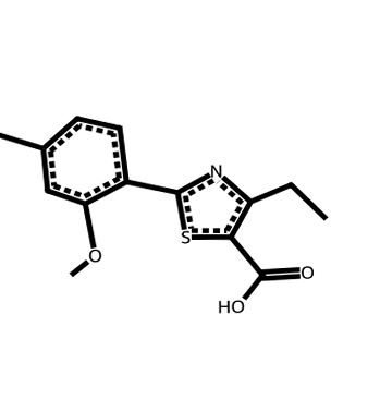 CCc1nc(-c2ccc(C)cc2OC)sc1C(=O)O